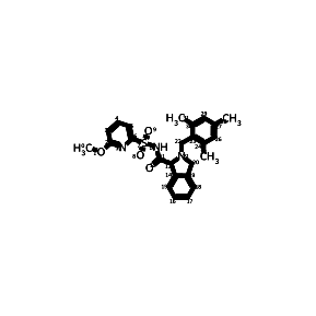 COc1cccc(S(=O)(=O)NC(=O)C2c3ccccc3CN2Cc2c(C)cc(C)cc2C)n1